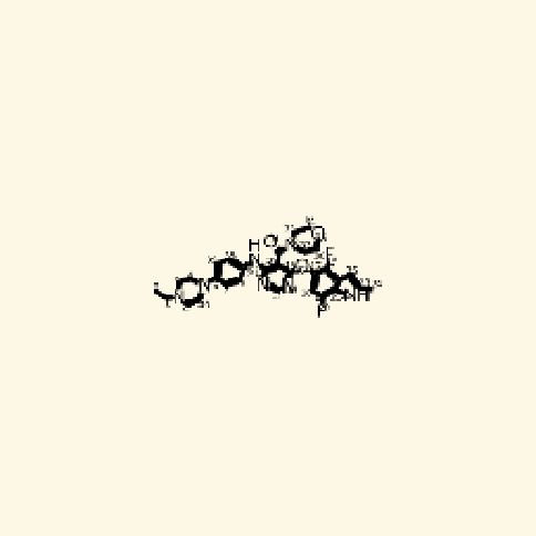 CCN1CCN(c2ccc(Nc3ncnc(Oc4cc(F)c5[nH]c(C)cc5c4F)c3C(=O)N3CCOCC3)cc2)CC1